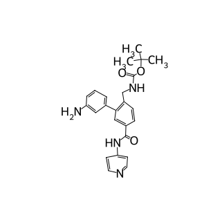 CC(C)(C)OC(=O)NCc1ccc(C(=O)Nc2ccncc2)cc1-c1cccc(N)c1